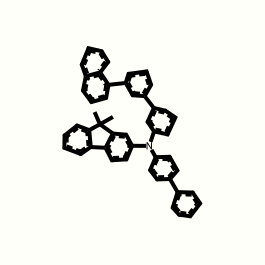 CC1(C)c2ccccc2-c2ccc(N(c3ccc(-c4ccccc4)cc3)c3cccc(-c4cccc(-c5cccc6ccccc56)c4)c3)cc21